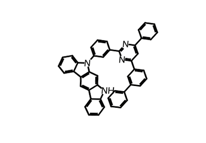 c1ccc(-c2cccc(-c3cc(-c4ccccc4)nc(-c4cccc(-n5c6ccccc6c6cc7c(cc65)[nH]c5ccccc57)c4)n3)c2)cc1